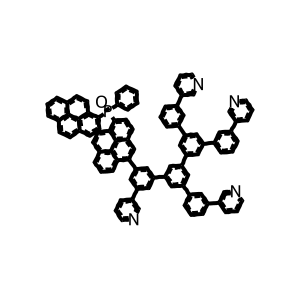 O=P(c1ccccc1)(c1ccc2ccc3cccc4ccc1c2c34)c1ccc2cc(-c3cc(-c4cccnc4)cc(-c4cc(-c5cccc(-c6cccnc6)c5)cc(-c5cc(-c6cccc(-c7cccnc7)c6)cc(-c6cccc(-c7cccnc7)c6)c5)c4)c3)c3cccc4ccc1c2c43